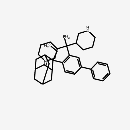 PCC1(c2ccc(-c3ccccc3)cc2C(P)(C2CCCNC2)C2CCCNC2)C2CC3CC(C2)CC1C3